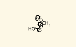 Cc1nc(-c2sccc2CO)ccc1OC1CCCCO1